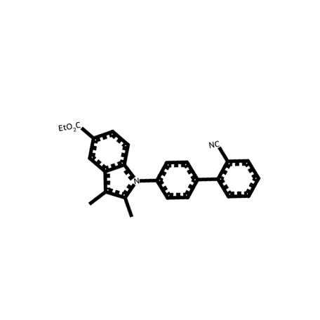 CCOC(=O)c1ccc2c(c1)c(C)c(C)n2-c1ccc(-c2ccccc2C#N)cc1